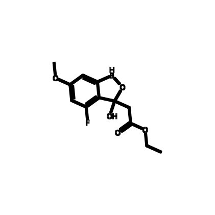 CCOC(=O)CC1(O)OBc2cc(OC)cc(F)c21